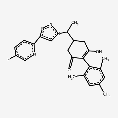 Cc1cc(C)c(C2=C(O)CC(C(C)n3cc(-c4ccc(F)cn4)nn3)CC2=O)c(C)c1